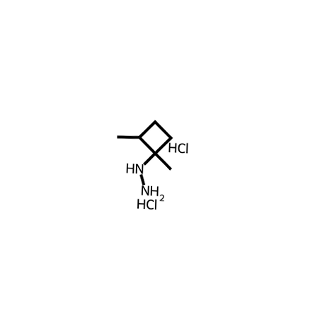 CC1CCC1(C)NN.Cl.Cl